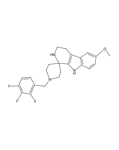 COc1ccc2[nH]c3c(c2c1)CCNC31CCN(Cc2ccc(F)c(F)c2F)CC1